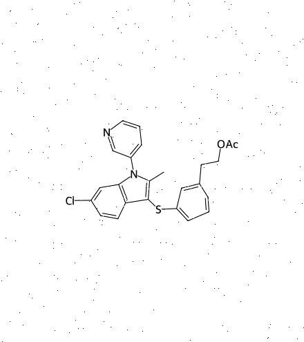 CC(=O)OCCc1cccc(Sc2c(C)n(-c3cccnc3)c3cc(Cl)ccc23)c1